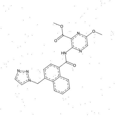 COC(=O)c1nc(OC)cnc1NC(=O)c1ccc(Cn2ccnn2)c2ccccc12